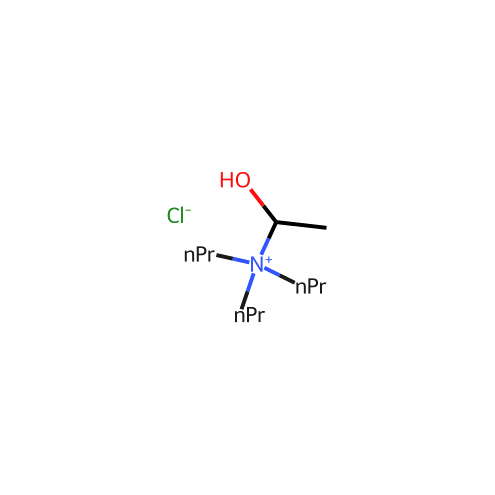 CCC[N+](CCC)(CCC)C(C)O.[Cl-]